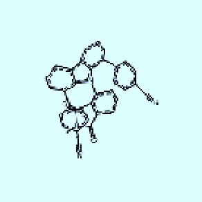 CN1C(=O)c2cccc(-n3c4c(-c5ccc(C#N)cc5)cccc4c4cccc(-c5ccc(C#N)cc5)c43)c2C1=O